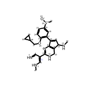 CN/C=C(\C=N)C1=NC2=C(CN1)C(NC)C=C2c1cc([S+](C)[O-])ccc1OCC1CC1